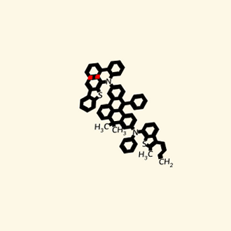 C=C/C=C\c1c(C)sc2c(N(c3ccccc3)c3ccc4c(c3)C(C)(C)c3cccc5c3c-4c(-c3ccccc3)c3ccc(N(c4ccccc4-c4ccccc4)c4cccc6c4sc4ccccc46)cc35)cccc12